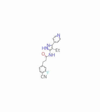 CCc1c(-c2ccncc2)n[nH]c1NC(=O)CCc1ccc(C#N)c(F)c1